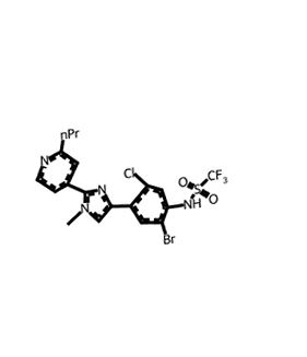 CCCc1cc(-c2nc(-c3cc(Br)c(NS(=O)(=O)C(F)(F)F)cc3Cl)cn2C)ccn1